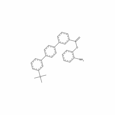 C=C(Oc1ccccc1N)c1cccc(-c2ccc(-c3cccc([Si](C)(C)C)c3)cc2)c1